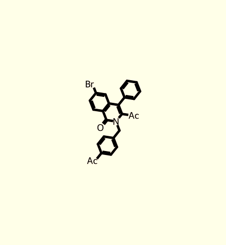 CC(=O)c1ccc(Cn2c(C(C)=O)c(-c3ccccc3)c3cc(Br)ccc3c2=O)cc1